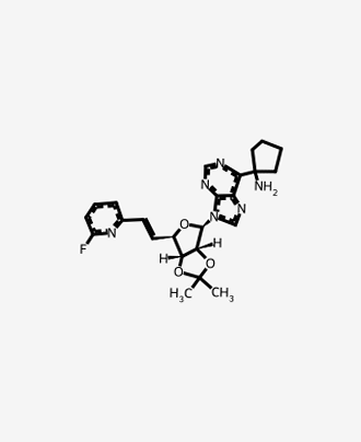 CC1(C)O[C@@H]2[C@H](O1)[C@@H](C=Cc1cccc(F)n1)O[C@H]2n1cnc2c(C3(N)CCCC3)ncnc21